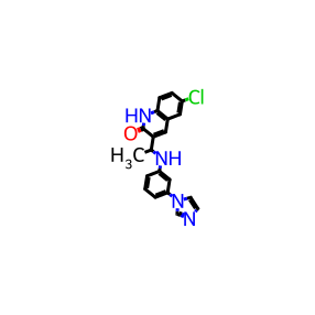 CC(Nc1cccc(-n2ccnc2)c1)c1cc2cc(Cl)ccc2[nH]c1=O